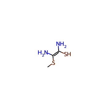 CS/C(N)=C(/N)S